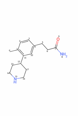 Cc1ccc(CCC(N)=O)cc1C1CCNCC1